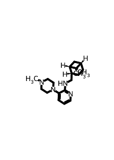 CN1CCN(c2cccnc2NC[C@H]2CC[C@H]3C[C@@H]2C3(C)C)CC1